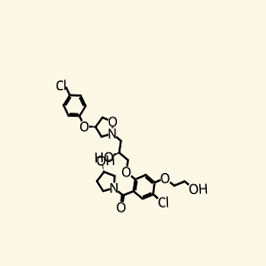 O=C(c1cc(Cl)c(OCCO)cc1OC[C@@H](O)CN1C[C@@H](Oc2ccc(Cl)cc2)CO1)N1CC[C@H](O)C1